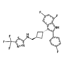 Fc1ccc(-c2[nH]c3c(F)cc(F)cc3c2[C@H]2C[C@H](CNc3nnc(C(F)(F)F)s3)C2)cc1